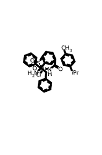 Cc1ccc(C(C)C)cc1.NC(Cc1ccccc1)(c1ccccc1)c1cc2ccc1[S](=O)(=O)[Ru]([Cl])[NH]C2=O